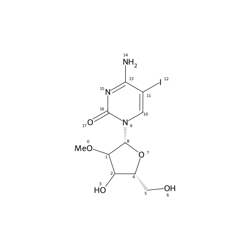 COC1C(O)[C@@H](CO)O[C@H]1n1cc(I)c(N)nc1=O